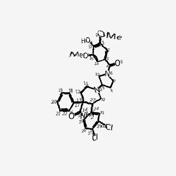 COc1cc(C(=O)N2CCC(N3CCC(C(N)=O)(c4ccccc4)C(c4ccc(Cl)c(Cl)c4)C3)C2)cc(OC)c1O